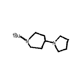 CC(C)(C)N1CCC(N2CCCC2)CC1